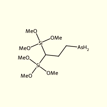 CO[Si](OC)(OC)C(CC[AsH2])[Si](OC)(OC)OC